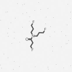 O=C(CCF)N(CCCF)CCCF